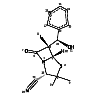 CC1(C)S[C@@H]2N(C(=O)[C@]2(I)[C@H](O)c2cccnc2)[C@H]1C#N